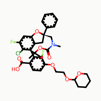 CN(C[C@@]1(c2ccccc2)Cc2c(cc(F)c(Cl)c2-c2c(C(=O)O)ccc(OCCOC3CCCCO3)c2F)O1)C(=O)OC(C)(C)C